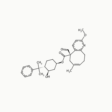 COc1ccc2c(n1)CC/C=C(/C)C[C@]2(C=O)C(=O)O[C@@H]1CC[C@@H](C(C)(C)c2ccccc2)[C@H](O)C1